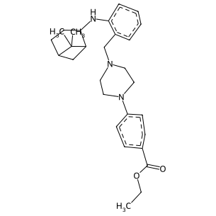 CCOC(=O)c1ccc(N2CCN(Cc3ccccc3NC3CCC4CC3C4(C)C)CC2)cc1